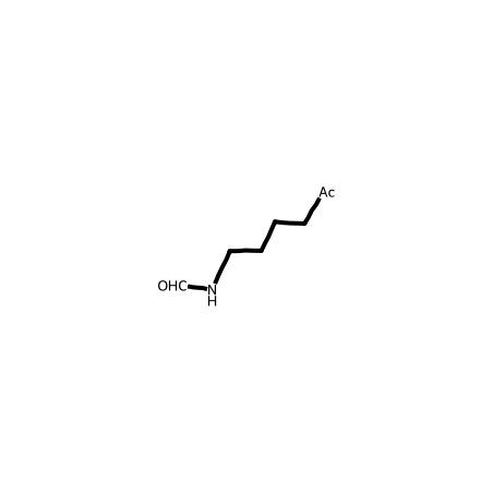 CC(=O)CCCCNC=O